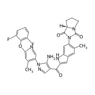 Cc1cc2cc(C(=O)c3cnn(-c4cnc(Oc5c(F)cccc5F)cc4C)c3N)[nH]c2cc1N1C(=O)[C@@H]2CCCN2C1=O